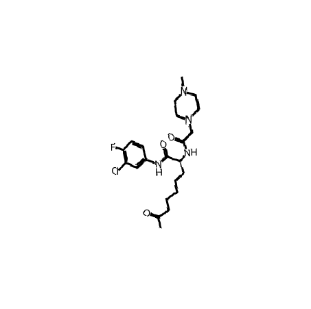 CC(=O)CCCCC[C@H](NC(=O)CN1CCN(C)CC1)C(=O)Nc1ccc(F)c(Cl)c1